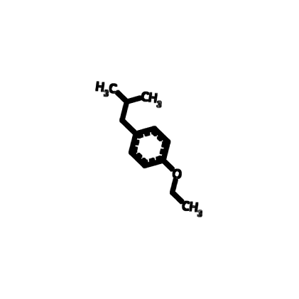 CCOc1ccc(CC(C)C)cc1